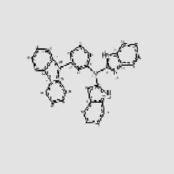 c1cc(N(c2cc3ccccc3[nH]2)c2nc3ccccc3[nH]2)cc(-n2c3ccccc3c3ccccc32)c1